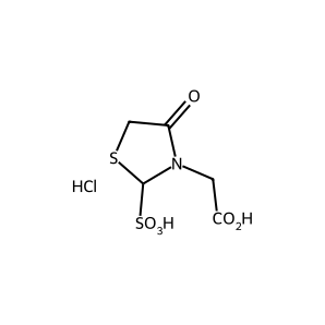 Cl.O=C(O)CN1C(=O)CSC1S(=O)(=O)O